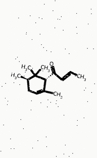 C/C=C/C(=O)[C@@H]1C(C)=CC[C@@H](C)C1(C)C